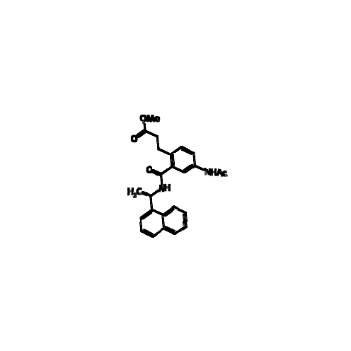 COC(=O)CCc1ccc(NC(C)=O)cc1C(=O)N[C@H](C)c1cccc2ccccc12